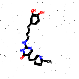 Cc1ccc(Cc2cnc(NCCCCc3ccc(O)c(O)c3)[nH]c2=O)cn1